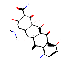 C=C1c2c(N)ccc(O)c2C(=O)C2=C(O)[C@]3(O)C(=O)C(C(N)=O)C(O)[C@@H](N(C)C)[C@@H]3[C@@H](O)[C@H]12